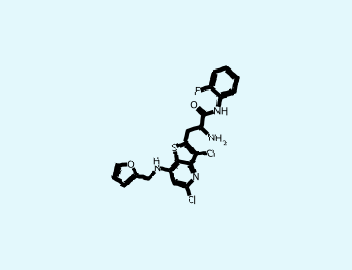 NC(Cc1sc2c(NCc3ccco3)cc(Cl)nc2c1Cl)C(=O)Nc1ccccc1F